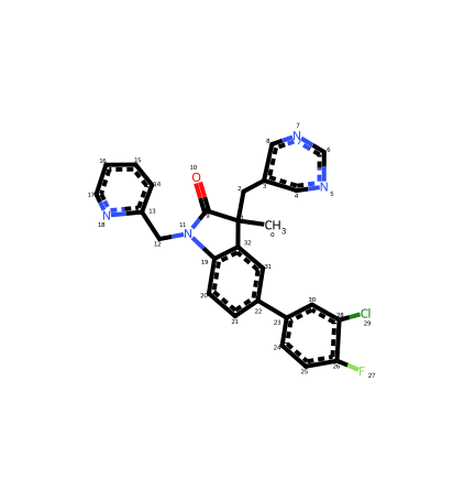 CC1(Cc2cncnc2)C(=O)N(Cc2ccccn2)c2ccc(-c3ccc(F)c(Cl)c3)cc21